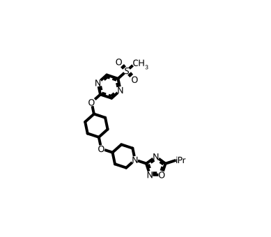 CC(C)c1nc(N2CCC(OC3CCC(Oc4cnc(S(C)(=O)=O)cn4)CC3)CC2)no1